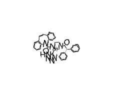 O=C(C(c1ccccc1)c1ccccc1)N1CCN(C(=O)N2c3ccccc3C=Cc3ccccc32)[C@H](c2nnn[nH]2)C1